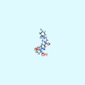 Cc1ccc(N2CCN(C(=O)c3ccc(N4[C@H](CO)CCS4(=O)=O)nc3)CC2)c(C)c1